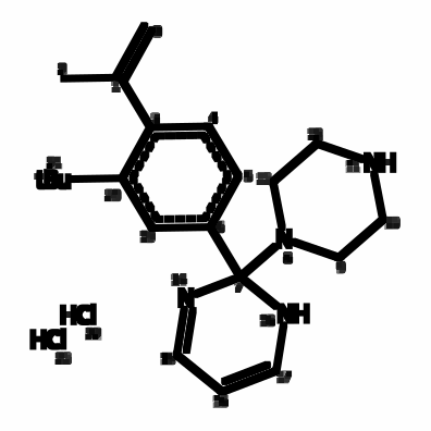 C=C(C)c1ccc(C2(N3CCNCC3)N=CC=CN2)cc1C(C)(C)C.Cl.Cl